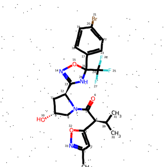 Cc1cc([C@@H](C(=O)N2C[C@H](O)C[C@H]2C2=NOC(c3ccc(Br)cc3)(C(F)(F)F)N2)C(C)C)on1